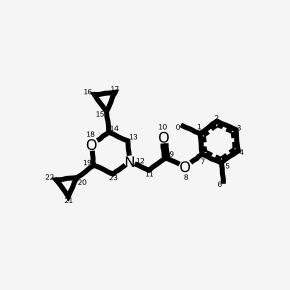 Cc1cccc(C)c1OC(=O)CN1CC(C2CC2)OC(C2CC2)C1